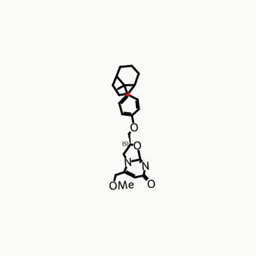 COCc1cc(=O)nc2n1C[C@@H](COc1ccc(C3(C)C4CCCC3CCC4)cc1)O2